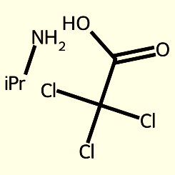 CC(C)N.O=C(O)C(Cl)(Cl)Cl